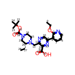 CCOc1ncccc1-c1cnc(CN2CCN(C(=O)OC(C)(C)C)C[C@H]2CC)c(C(=O)O)n1